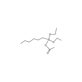 CCCCCC[Si](OCC)(OCC)OC(C)=O